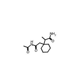 CC(=O)NC(=O)CC1(C(C)C(N)=O)CCCCC1